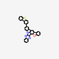 c1ccc2nc3c(nc2c1)c1c2oc4ccccc4c2cc2c4cc(-c5ccc6sc7ccccc7c6c5)ccc4n3c21